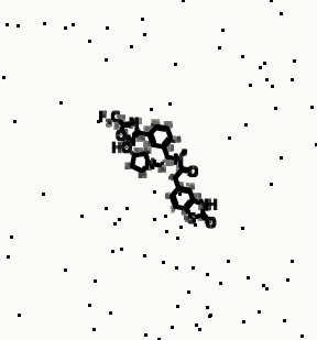 CN(C(=O)Cc1ccc2sc(=O)[nH]c2c1)[C@H](CN1CC[C@H](O)C1)c1cccc(-c2noc(C(F)(F)F)n2)c1